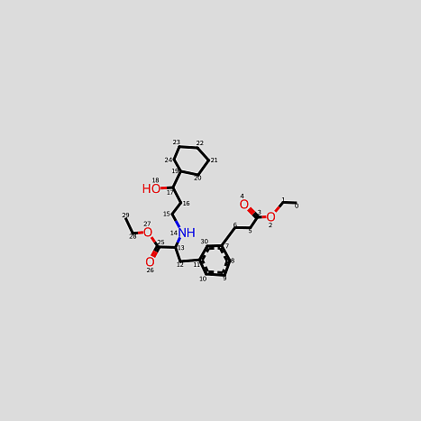 CCOC(=O)CCc1cccc(CC(NCCC(O)C2CCCCC2)C(=O)OCC)c1